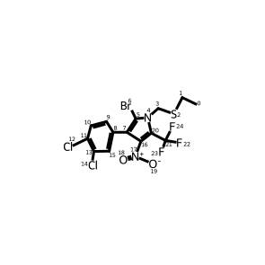 CCSCn1c(Br)c(-c2ccc(Cl)c(Cl)c2)c([N+](=O)[O-])c1C(F)(F)F